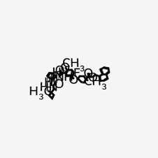 COc1cc(F)c(OC2CCC(C)(C(=O)OCc3cccc4ccccc34)CC2)cc1C(=O)N[C@H]1[C@@H](C(=O)NCC2(C)CCC2)[C@@H]2C=C[C@H]1C2